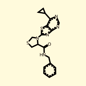 O=C(NCc1ccccc1)C1CSCN1c1nc2ncnc(C3CC3)c2s1